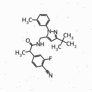 Cc1cccc(-n2nc(C(C)(C)C)cc2CNC(=O)C(C)c2ccc(C#N)c(F)c2)c1